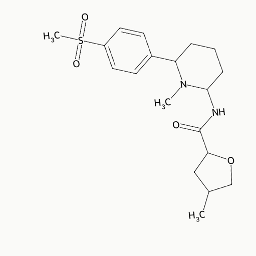 CC1COC(C(=O)NC2CCCC(c3ccc(S(C)(=O)=O)cc3)N2C)C1